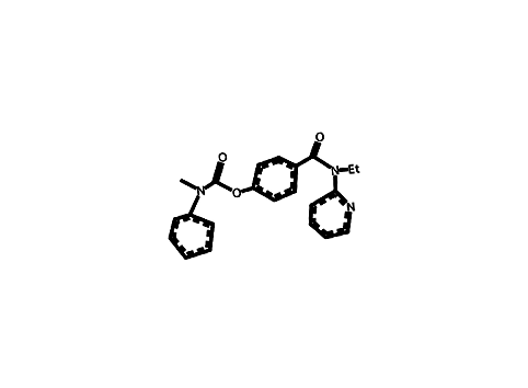 CCN(C(=O)c1ccc(OC(=O)N(C)c2ccccc2)cc1)c1ccccn1